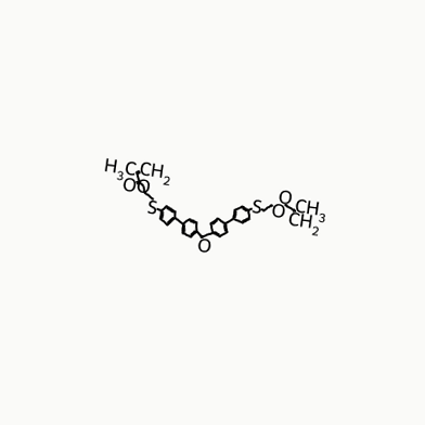 C=C(C)C(=O)OCCSc1ccc(-c2ccc(C(=O)c3ccc(-c4ccc(SCCOC(=O)C(=C)C)cc4)cc3)cc2)cc1